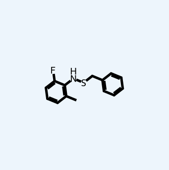 Cc1cccc(F)c1NSCc1ccccc1